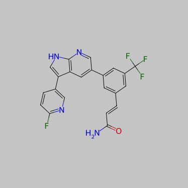 NC(=O)C=Cc1cc(-c2cnc3[nH]cc(-c4ccc(F)nc4)c3c2)cc(C(F)(F)F)c1